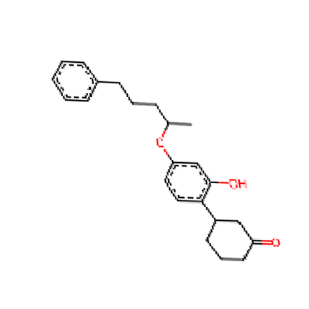 CC(CCCc1ccccc1)Oc1ccc(C2CCCC(=O)C2)c(O)c1